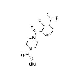 CC(C)(C)OC(=O)N1CCN(C(=O)c2cccc(C(F)F)c2F)CC1